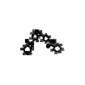 O=C(Nc1ccc(-c2c[nH]c3ccc(NC(=O)C4CCCCCC4)cc23)cc1)C1CCCCCC1